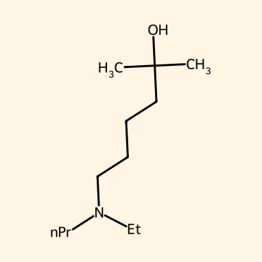 CCCN(CC)CCCCC(C)(C)O